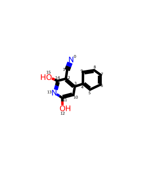 N#Cc1c(-c2ccccc2)cc(O)nc1O